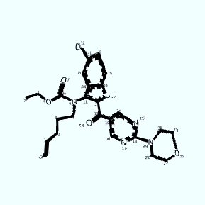 CCCCCN(C(=O)OCC)c1c(C(=O)c2cnc(N3CCOCC3)nc2)oc2ccc(Cl)cc12